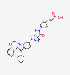 CC(C)(NC(=O)c1ccc2c(C3CCCCC3)c3n(c2c1)CCOc1ccccc1-3)C(=O)Nc1ccc(C=CC(=O)O)cc1